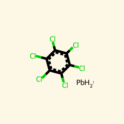 Clc1c(Cl)c(Cl)c(Cl)c(Cl)c1Cl.[PbH2]